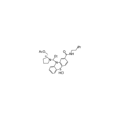 CCC(N1c2ccccc2Sc2ccc(C(=O)NCCC(C)C)cc21)N1CCC[C@@H]1COC(C)=O.Cl